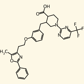 Cc1oc(-c2ccccc2)nc1CCOc1cccc(CC2CN(c3nccc(C(F)(F)F)n3)CCC2C(=O)O)c1